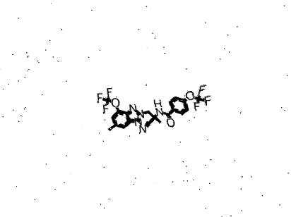 Cc1cc(OC(F)(F)F)c2nn(CC(C)(C#N)NC(=O)c3ccc(OC(F)(F)F)cc3)nc2c1